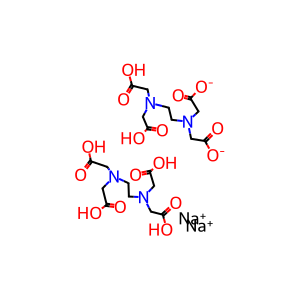 O=C(O)CN(CCN(CC(=O)O)CC(=O)O)CC(=O)O.O=C([O-])CN(CCN(CC(=O)O)CC(=O)O)CC(=O)[O-].[Na+].[Na+]